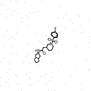 O=C(CC1CCCN(S(=O)(=O)c2ccc(F)cc2)C1)NN1CC2CCCC2C1